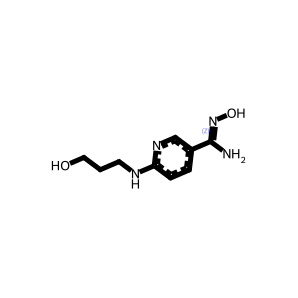 N/C(=N\O)c1ccc(NCCCO)nc1